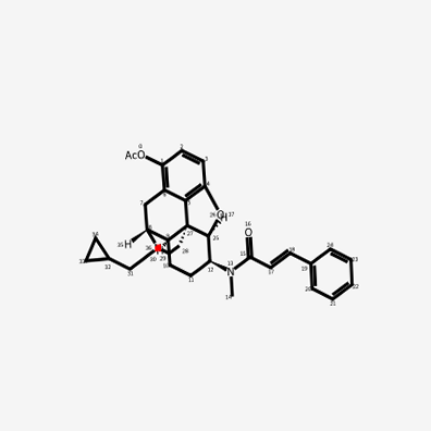 CC(=O)Oc1ccc2c3c1C[C@@H]1[C@@H]4CC[C@H](N(C)C(=O)C=Cc5ccccc5)[C@H](O2)[C@]34CCN1CC1CC1